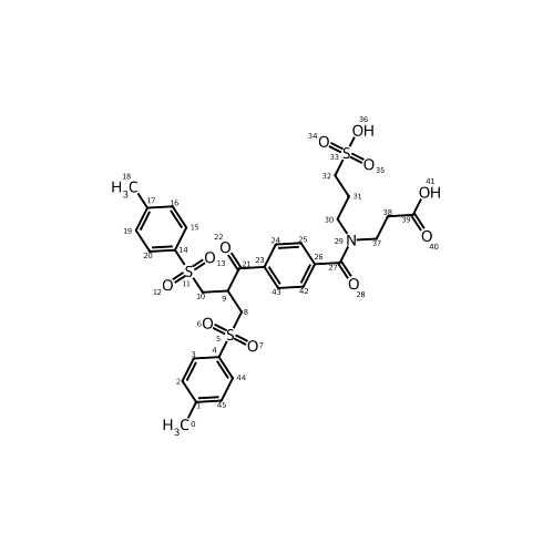 Cc1ccc(S(=O)(=O)CC(CS(=O)(=O)c2ccc(C)cc2)C(=O)c2ccc(C(=O)N(CCCS(=O)(=O)O)CCC(=O)O)cc2)cc1